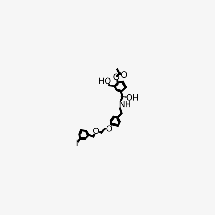 CC(=O)Oc1ccc([C@@H](O)CNCCc2ccc(OCCOCc3cccc(I)c3)cc2)cc1CO